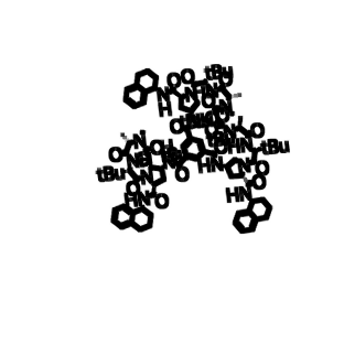 C[C@@H](C(=O)N[C@H](C(=O)N1C[C@@H](NC(=O)c2cc(C(=O)N[C@H]3C[C@@H](C(=O)N[C@@H]4CCCc5ccccc54)N(C(=O)[C@@H](NC(=O)[C@H](C)N(C)C(=O)OC(C)(C)C)C(C)(C)C)C3)cc(C(=O)N[C@H]3C[C@@H](C(=O)N[C@@H]4CCCc5ccccc54)N(C(=O)[C@@H](NC(=O)[C@H](C)N(C)C(=O)OC(C)(C)C)C(C)(C)C)C3)c2)C[C@H]1C(=O)N[C@@H]1CCCc2ccccc21)C(C)(C)C)N(C)C(=O)OC(C)(C)C